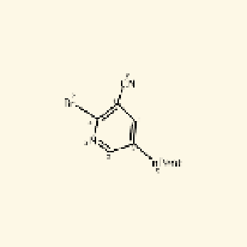 CCCCCc1cnc(Br)c(C#N)c1